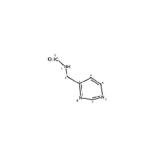 O=[C]NCc1ccncn1